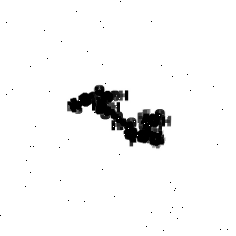 Cc1ncsc1-c1ccc(CNC(=O)[C@@H]2C[C@@H](O)CN2C(=O)[C@@H](NC(=O)CCOCCNC(=O)c2ccc(F)c(-c3ccc(N4C[C@@H](C)N(C)[C@@H](C)C4)c(NC(=O)c4c[nH]c(=O)cc4C(F)(F)F)c3)c2)C(C)(C)C)cc1